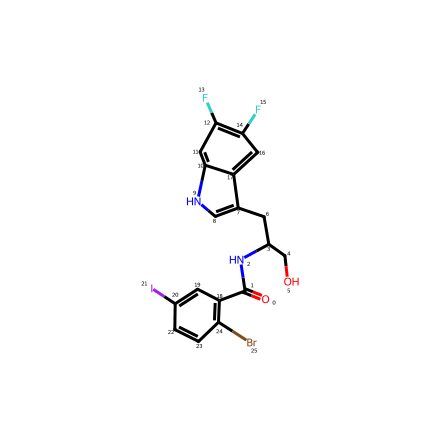 O=C(NC(CO)Cc1c[nH]c2cc(F)c(F)cc12)c1cc(I)ccc1Br